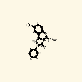 CSc1nc2ccc(C)cc2c2nn(-c3ccccc3)c(=O)n12